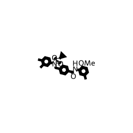 COc1ccc(C)cc1NC(=O)c1ccc(CN(c2ccc(C)c(C)c2)S(=O)(=O)C2CC2)cc1